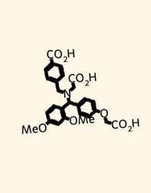 COc1ccc(C(c2ccc(OCC(=O)O)cc2)N(CC(=O)O)Cc2ccc(C(=O)O)cc2)c(OC)c1